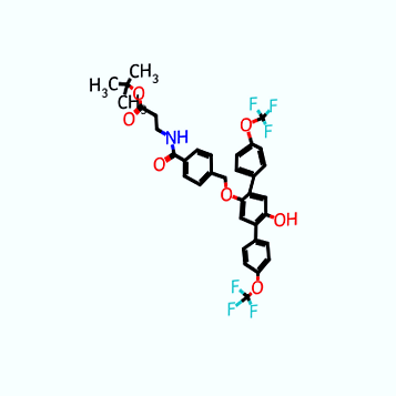 CC(C)(C)OC(=O)CCNC(=O)c1ccc(COc2cc(-c3ccc(OC(F)(F)F)cc3)c(O)cc2-c2ccc(OC(F)(F)F)cc2)cc1